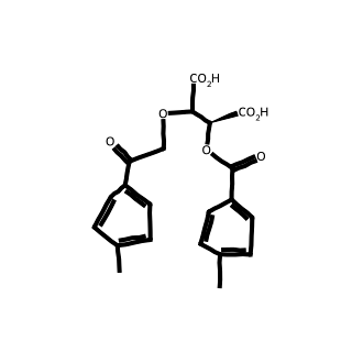 Cc1ccc(C(=O)COC(C(=O)O)[C@H](OC(=O)c2ccc(C)cc2)C(=O)O)cc1